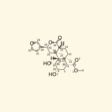 COC(=O)[C@@H]1C[C@H](O)[C@H](O)[C@H]2[C@@]1(C)CC[C@H]1C(=O)O[C@H](c3ccoc3)C[C@]21C